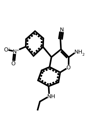 CCNc1ccc2c(c1)OC(N)=C(C#N)C2c1cccc([N+](=O)[O-])c1